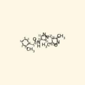 Cc1ccccc1CC(=O)Nc1cnn(Cc2c(C)noc2C)c1